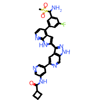 CS(=O)(=O)C(N)c1cc(F)cc(-c2ccnc3[nH]c(-c4n[nH]c5cnc(-c6cncc(NC(=O)C7CCC7)c6)cc45)cc23)c1